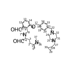 C=C(CCC(C=O)N(C)Cc1c(C=O)cccc1OCc1ccc(CN2CCN(CC3CC3)CC2)cc1)N(C)C